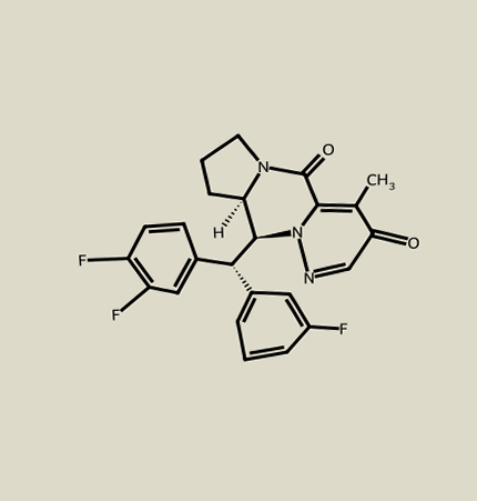 Cc1c2n(ncc1=O)[C@@H]([C@H](c1cccc(F)c1)c1ccc(F)c(F)c1)[C@H]1CCCN1C2=O